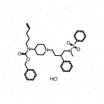 C=CCCCN(C(=O)OCc1ccccc1)C1CCN(CCC(CN(C)S(=O)(=O)c2ccccc2)c2ccccc2)CC1.Cl